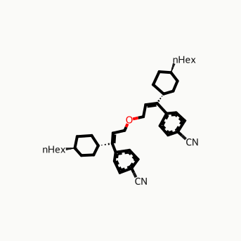 CCCCCC[C@H]1CC[C@H](C(=CCOCC=C(c2ccc(C#N)cc2)[C@H]2CC[C@H](CCCCCC)CC2)c2ccc(C#N)cc2)CC1